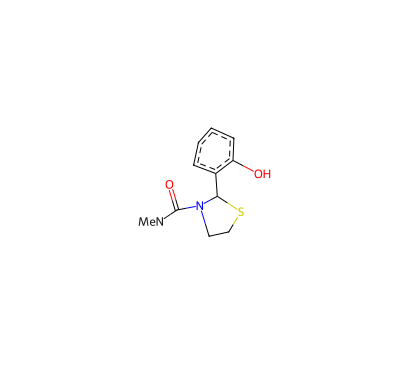 CNC(=O)N1CCSC1c1ccccc1O